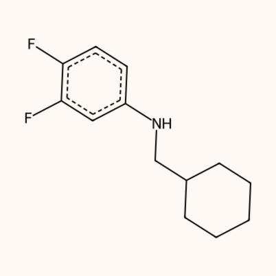 Fc1ccc(NCC2CCCCC2)cc1F